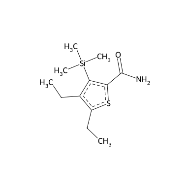 CCc1sc(C(N)=O)c([Si](C)(C)C)c1CC